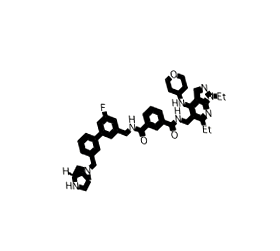 CCc1nc2c(cnn2CC)c(NC2CCOCC2)c1CNC(=O)c1cccc(C(=O)NCc2cc(F)cc(-c3cccc(CN4C[C@@H]5CC4CN5)c3)c2)c1